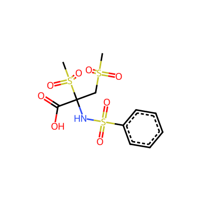 CS(=O)(=O)CC(NS(=O)(=O)c1ccccc1)(C(=O)O)S(C)(=O)=O